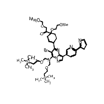 COCCOC1(C(=O)COCOC)CCC(c2nc3c(-c4ccc(C5=NC=CC5)nc4)cnn3c(N(COCC[Si](C)(C)C)COCC[Si](C)(C)C)c2Br)CC1